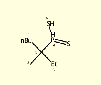 CCCCC(C)(CC)[PH](=S)S